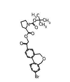 CC(C)(C)OC(=O)N1CCCC1C(=O)OCC(=O)c1ccc2c(c1)COCc1cc(Br)ccc1-2